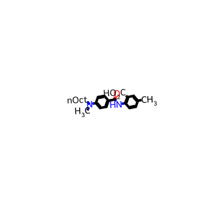 CCCCCCCCN(C)c1ccc(C(=O)Nc2ccc(C)cc2C(=O)O)cc1